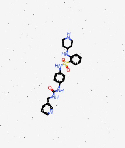 O=C(NCc1cccnc1)Nc1ccc(NS(=O)(=O)c2ccccc2NC2CCNCC2)cc1